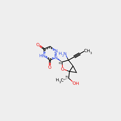 CC#CC1(N)C2CC2([C@@H](C)O)O[C@H]1n1ncc(=O)[nH]c1=O